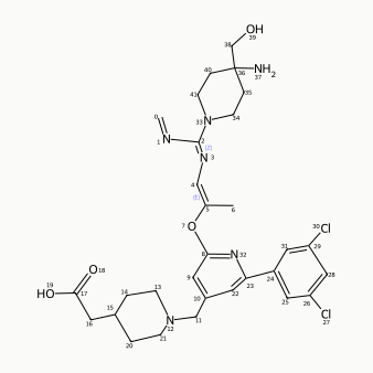 C=N/C(=N\C=C(/C)Oc1cc(CN2CCC(CC(=O)O)CC2)cc(-c2cc(Cl)cc(Cl)c2)n1)N1CCC(N)(CO)CC1